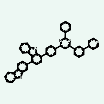 c1ccc(-c2nc(-c3ccc(-c4ccc(-c5ccc6c(c5)sc5ccccc56)c5c4oc4ccccc45)cc3)cc(-c3cccc(-c4ccncc4)c3)n2)cc1